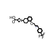 O=C(O)C1CN(C2CCc3c(cccc3OC/C=C/c3ccc(C(F)(F)F)cc3)C2)C1